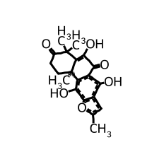 Cc1cc2c(O)c3c(c(O)c2o1)[C@@]1(C)CCC(=O)C(C)(C)C1=C(O)C3=O